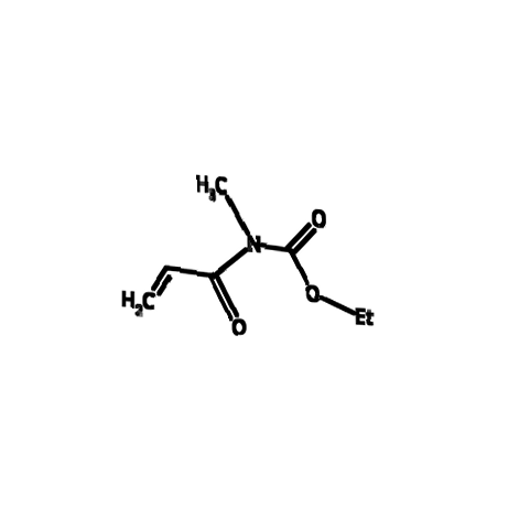 C=CC(=O)N(C)C(=O)OCC